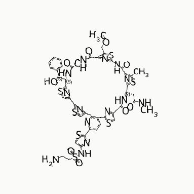 CNC(=O)C[C@@H]1NC(=O)c2csc(n2)-c2ccc(-c3nc(NS(=O)(=O)CCN)cs3)nc2-c2csc(n2)-c2csc(n2)[C@H]([C@@H](O)c2ccccc2)NC(=O)CNC(=O)c2nc(sc2COC)NC(=O)c2nc1sc2C